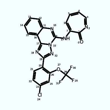 O=c1nccccc1Nc1nc2ccccc2c2nc(-c3ccc(Cl)cc3OC(F)(F)F)nn12